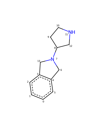 c1ccc2c(c1)CN(C1CCNC1)C2